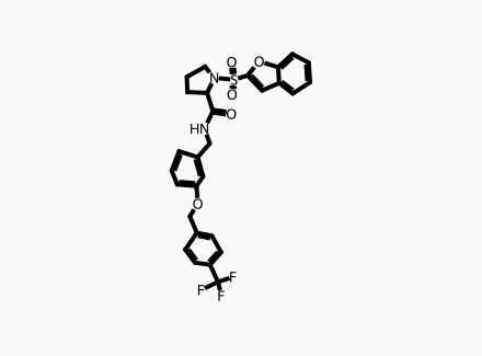 O=C(NCc1cccc(OCc2ccc(C(F)(F)F)cc2)c1)C1CCCN1S(=O)(=O)c1cc2ccccc2o1